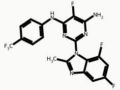 Cc1nc2cc(F)cc(F)c2n1-c1nc(N)c(F)c(Nc2ccc(C(F)(F)F)cc2)n1